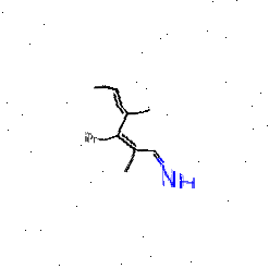 C/C=C(C)\C(=C(\C)C=N)C(C)C